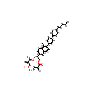 C=C(CO)C(=O)OCC(COC(=O)C(=C)CO)c1ccc2c(C)c(-c3ccc(C4CCC(CCCCC)CC4)cc3)ccc2c1